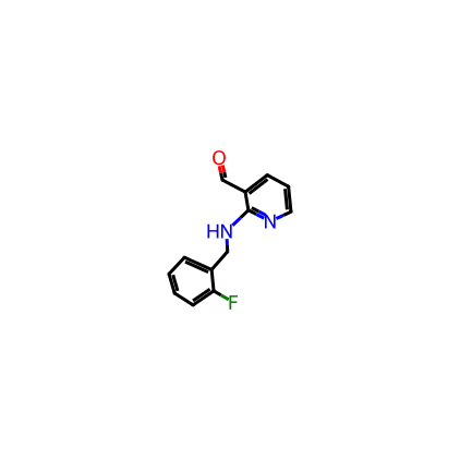 O=Cc1cccnc1NCc1ccccc1F